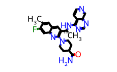 Cc1cc2cc([C@H](C)Nc3ncnc4cnccc34)c(N3CCC(C(N)=O)CC3)nc2cc1F